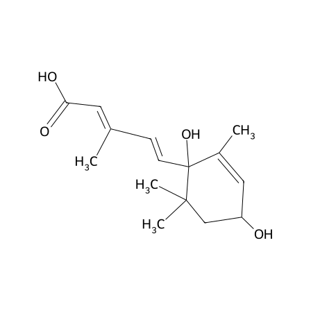 CC1=CC(O)CC(C)(C)C1(O)/C=C/C(C)=C/C(=O)O